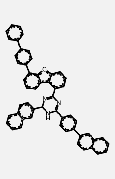 c1ccc(-c2ccc(-c3cccc4c3oc3cccc(C5=NC(c6ccc7ccccc7c6)NC(c6ccc(-c7ccc8ccccc8c7)cc6)=N5)c34)cc2)cc1